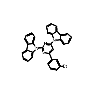 CCc1cccc(-c2cc(-n3c4ccccc4c4ccccc43)nc(-n3c4ccccc4c4ccccc43)n2)c1